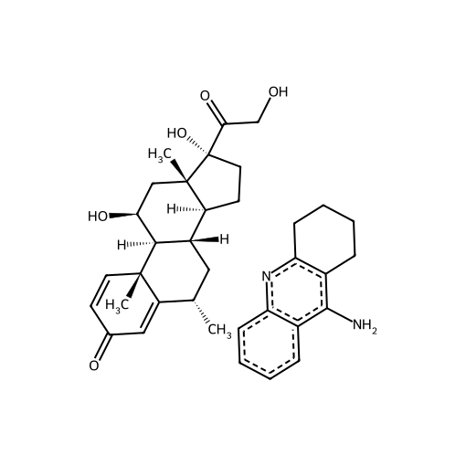 C[C@H]1C[C@@H]2[C@H]([C@@H](O)C[C@@]3(C)[C@H]2CC[C@]3(O)C(=O)CO)[C@@]2(C)C=CC(=O)C=C12.Nc1c2c(nc3ccccc13)CCCC2